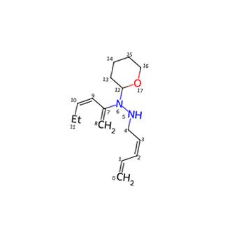 C=C/C=C\CNN(C(=C)/C=C\CC)C1CCCCO1